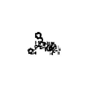 CC1(C)[C@@H]2C[C@H]3OB(C(Cc4ccccc4)NC(=O)OC[C@H]4CCCN4)O[C@@]3(C)[C@H]1C2